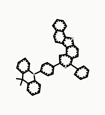 CC1(C)c2ccccc2N(c2ccc(-c3cc4c(ccc5oc6c7ccccc7ccc6c54)c(-c4ccccc4)n3)cc2)c2ccccc21